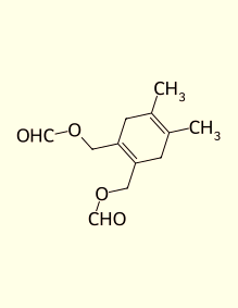 CC1=C(C)CC(COC=O)=C(COC=O)C1